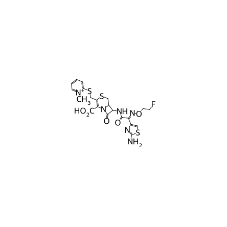 C[n+]1ccccc1SCC1=C(C(=O)O)N2C(=O)C(NC(=O)C(=NOCCF)c3csc(N)n3)C2CS1